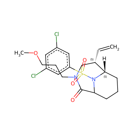 C=C[C@H]1CN(CCCOC)C(=O)C2CCC[C@@H]1N2S(=O)(=O)c1cc(Cl)cc(Cl)c1